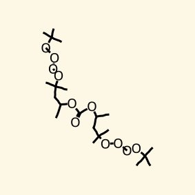 CC(CC(C)(C)OOOOC(C)(C)C)OC(=O)OC(C)CC(C)(C)OOOOC(C)(C)C